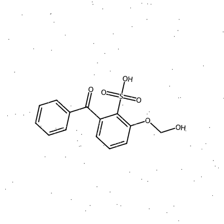 O=C(c1ccccc1)c1cccc(OCO)c1S(=O)(=O)O